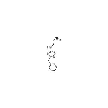 NCCNc1nc(Cc2ccccc2)ns1